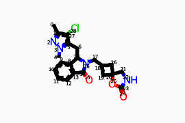 Cc1nn(C)c(CC2c3ccccc3C(=O)N2CC2CC3(CNC(=O)O3)C2)c1Cl